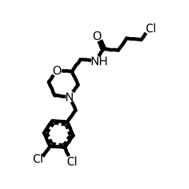 O=C(CCCCl)NCC1CN(Cc2ccc(Cl)c(Cl)c2)CCO1